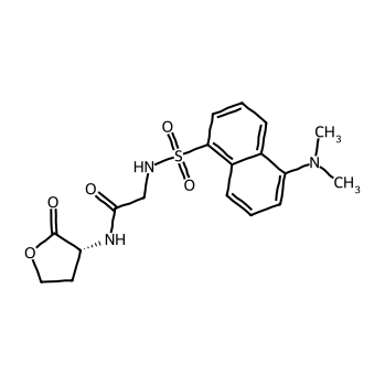 CN(C)c1cccc2c(S(=O)(=O)NCC(=O)N[C@@H]3CCOC3=O)cccc12